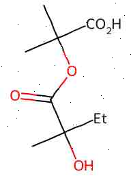 CCC(C)(O)C(=O)OC(C)(C)C(=O)O